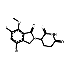 COc1c(I)cc(Br)c2c1C(=O)N(C1CCC(=O)NC1=O)C2